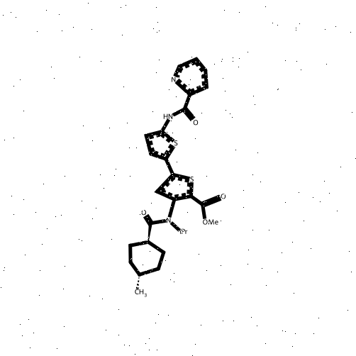 COC(=O)c1sc(-c2ccc(NC(=O)c3ccccn3)s2)cc1N(C(=O)[C@H]1CC[C@H](C)CC1)C(C)C